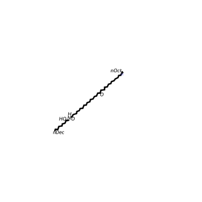 CCCCCCCC/C=C\CCCCCCCCCCCC(=O)CCCCCCCCCCCCCCCC(=O)NC[C@H](O)CCCCCCCCCCCCCCCC